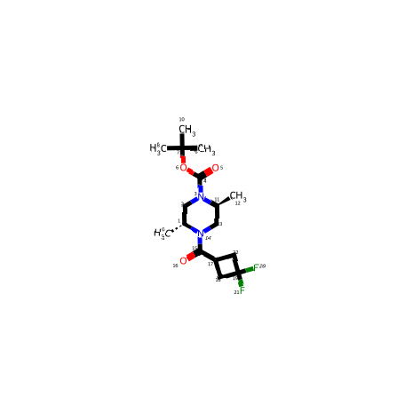 C[C@@H]1CN(C(=O)OC(C)(C)C)[C@@H](C)CN1C(=O)C1CC(F)(F)C1